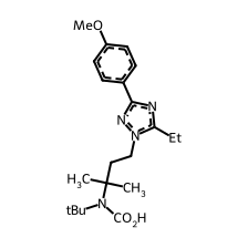 CCc1nc(-c2ccc(OC)cc2)nn1CCC(C)(C)N(C(=O)O)C(C)(C)C